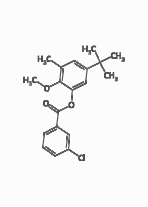 COc1c(C)cc(C(C)(C)C)cc1OC(=O)c1cccc(Cl)c1